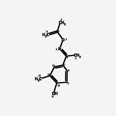 C=C(C)ON=C(C)c1ccc(O)c(C)c1